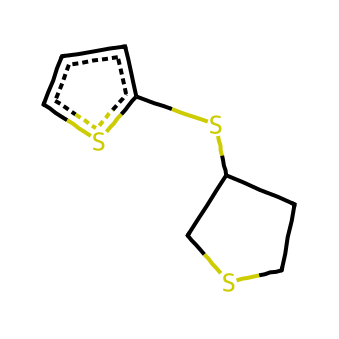 c1csc(SC2CCSC2)c1